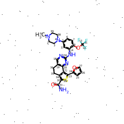 CN1CCN(c2ccc(OC(F)(F)F)c(Nc3ncc4c(n3)-c3c(-c5ccco5)sc(C(N)=O)c3CC4)c2)CC1